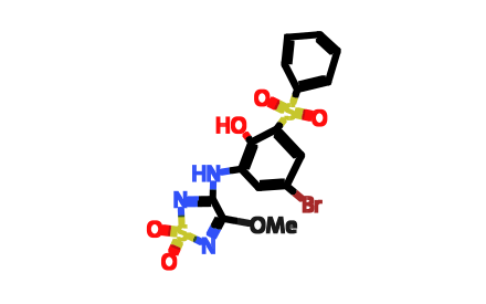 COC1=NS(=O)(=O)N=C1Nc1cc(Br)cc(S(=O)(=O)c2ccccc2)c1O